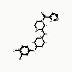 O=C(c1ccno1)N1CCOC(CN2CCC(Oc3ccc(Cl)c(Cl)c3)CC2)C1